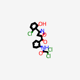 O=C(c1cc(-c2c(O)cccc2Cl)no1)c1ccccc1NC(=O)C(Cl)Cl